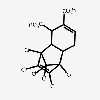 O=C(O)C1=CCC2C(C1C(=O)O)C1(Cl)C(Cl)=C(Cl)C2(Cl)C1(Cl)Cl